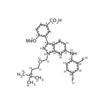 COc1ccc(C(=O)O)cc1-c1nn(COCC[Si](C)(C)C)c2nc(Nc3ccc(F)cc3F)ccc12